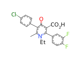 CCn1c(C)c(-c2ccc(Cl)cc2)c(=O)c(C(=O)O)c1-c1ccc(F)c(F)c1